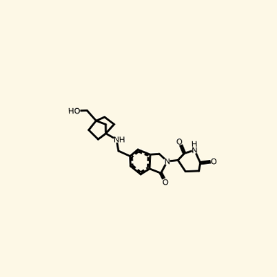 O=C1CCC(N2Cc3cc(CNC45CCC(CO)(CC4)C5)ccc3C2=O)C(=O)N1